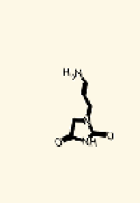 NC=CCN1CC(=O)NC1=O